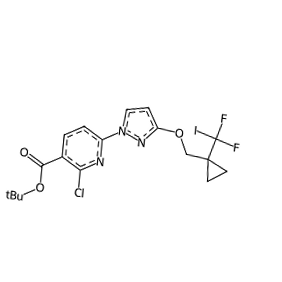 CC(C)(C)OC(=O)c1ccc(-n2ccc(OCC3(C(F)(F)I)CC3)n2)nc1Cl